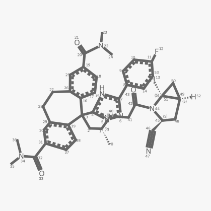 C[C@H](CC1(c2nnc(-c3ccc(F)cc3)[nH]2)c2ccc(C(=O)N(C)C)cc2CCc2cc(C(=O)N(C)C)ccc21)NCC(=O)N1[C@H](C#N)C[C@@H]2C[C@@H]21